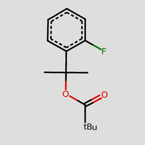 CC(C)(C)C(=O)OC(C)(C)c1ccccc1F